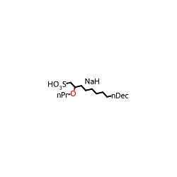 CCCCCCCCCCCCCCCCC(CS(=O)(=O)O)OCCC.[NaH]